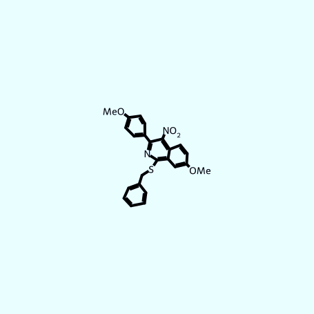 COc1ccc(-c2nc(SCc3ccccc3)c3cc(OC)ccc3c2[N+](=O)[O-])cc1